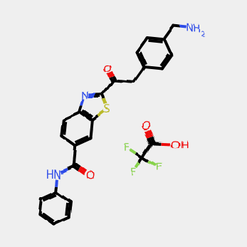 NCc1ccc(CC(=O)c2nc3ccc(C(=O)Nc4ccccc4)cc3s2)cc1.O=C(O)C(F)(F)F